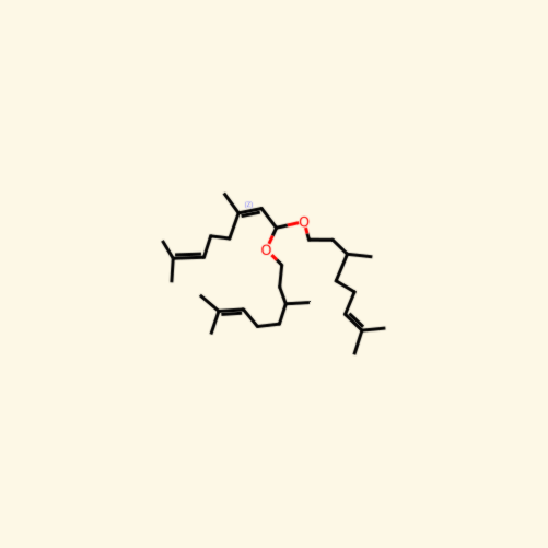 CC(C)=CCC/C(C)=C\C(OCCC(C)CCC=C(C)C)OCCC(C)CCC=C(C)C